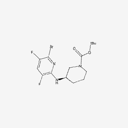 CC(C)(C)OC(=O)N1CCC[C@@H](Nc2nc(Br)c(F)cc2F)C1